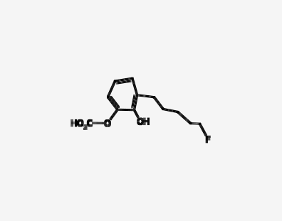 O=C(O)Oc1cccc(CCCCCF)c1O